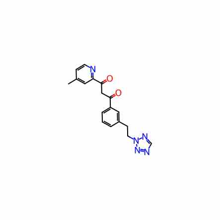 Cc1ccnc(C(=O)CC(=O)c2cccc(CCn3ncnn3)c2)c1